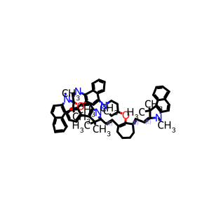 CN1/C(=C/C=C2\CCCCC(/C=C/C3=[N+](C)c4ccc5ccccc5c4C3(C)C)=C2OC2CCN(c3cc4c(c5ccccc35)N=CC3(O4)N(C)c4ccc5ccccc5c4C3(C)C)CC2)C(C)(C)c2c1ccc1ccccc21